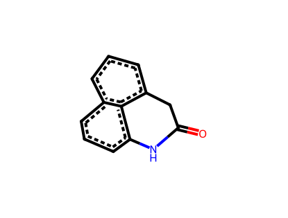 O=C1Cc2cccc3cccc(c23)N1